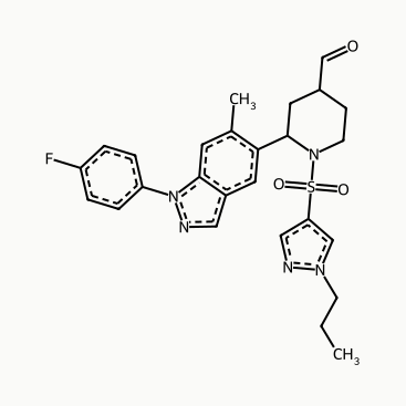 CCCn1cc(S(=O)(=O)N2CCC(C=O)CC2c2cc3cnn(-c4ccc(F)cc4)c3cc2C)cn1